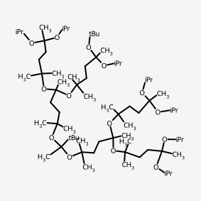 CC(C)OC(C)(CCC(C)(C)OC(C)(CCC(C)(C)OC(C)(OC(C)(C)CCC(C)(OC(C)(C)CCC(C)(OC(C)C)OC(C)C)OC(C)(C)CCC(C)(OC(C)C)OC(C)(C)C)C(C)(C)C)OC(C)(C)CCC(C)(OC(C)C)OC(C)C)OC(C)C